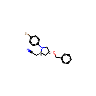 N#CC[C@@H]1C[C@@H](OCc2ccccc2)CN1c1ccc(Br)cc1